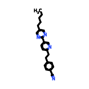 CCCCCc1cnc(-c2ccc(CCc3ccc(C#N)cc3)nc2)nc1